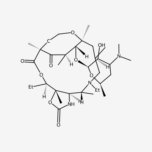 CC[C@H]1OC(=O)[C@@]2(C)CCO[C@@](C)(C[C@@H](C)CN(CC)[C@H](C)[C@H]3NC(=O)O[C@@]31C)[C@H](O[C@@H]1O[C@H](C)CC(N(C)C)C1O)[C@@H](C)C2=O